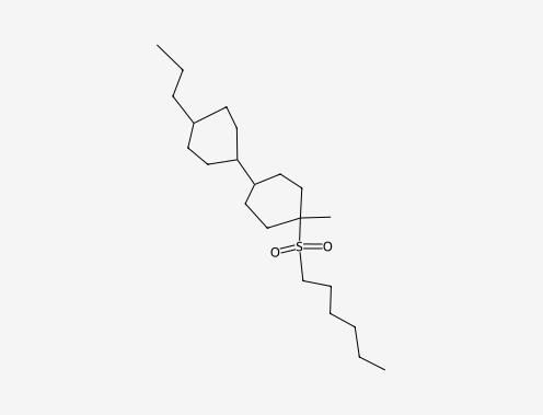 CCCCCCS(=O)(=O)C1(C)CCC(C2CCC(CCC)CC2)CC1